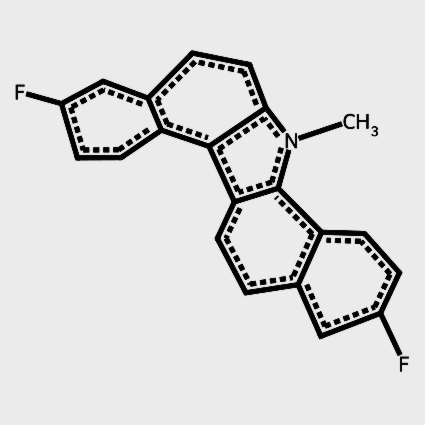 Cn1c2ccc3cc(F)ccc3c2c2ccc3cc(F)ccc3c21